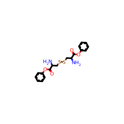 NC(CSSCC(N)C(=O)Oc1ccccc1)C(=O)Oc1ccccc1